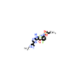 CCCS(=O)(=O)Nc1ccc(F)c(C(=O)C2CNc3ncc(-c4cnn(C)c4)nc32)c1F